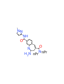 CCCN(CCC)C(=O)C1=Cc2ccc(C(=O)Nc3ccn(C)n3)cc2N=C(N)C1